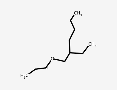 CC[C]OCC(CC)CCCC